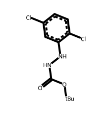 CC(C)(C)OC(=O)NNc1cc(Cl)ccc1Cl